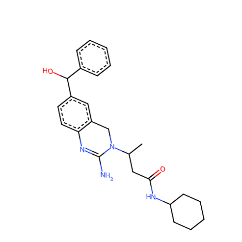 CC(CC(=O)NC1CCCCC1)N1Cc2cc(C(O)c3ccccc3)ccc2N=C1N